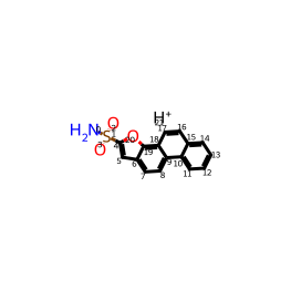 NS(=O)(=O)c1cc2ccc3c4ccccc4ccc3c2o1.[H+]